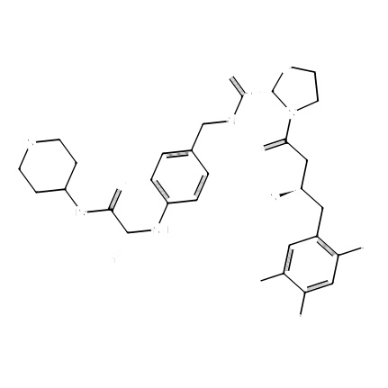 CC(C)[C@@H](Nc1ccc(CNC(=O)[C@@H]2SCCN2C(=O)C[C@H](N)Cc2cc(F)c(F)cc2F)cc1)C(=O)NC1CCNCC1